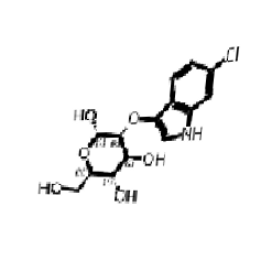 OC[C@H]1O[C@H](O)[C@H](Oc2c[nH]c3cc(Cl)ccc23)[C@@H](O)[C@@H]1O